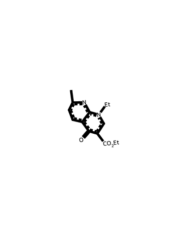 CCOC(=O)c1cn(CC)c2nc(C)ccc2c1=O